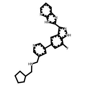 Fc1cc(-c2cncc(CNCC3CCCC3)c2)cc2c(-c3nc4cccnc4[nH]3)n[nH]c12